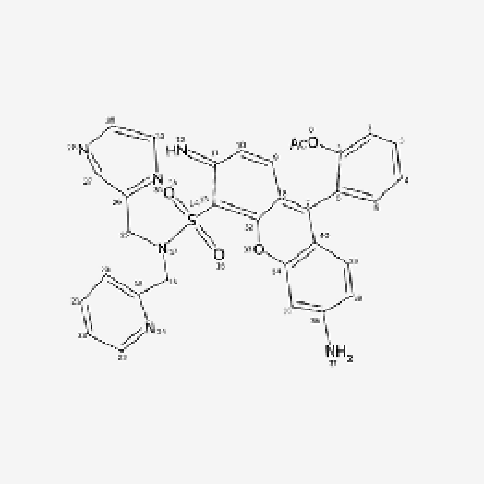 CC(=O)Oc1ccccc1-c1c2ccc(=N)c(S(=O)(=O)N(Cc3ccccn3)Cc3cnccn3)c-2oc2cc(N)ccc12